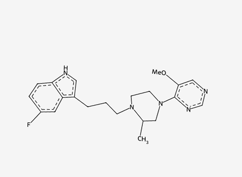 COc1cncnc1N1CCN(CCCc2c[nH]c3ccc(F)cc23)C(C)C1